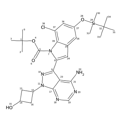 CC(C)(C)OC(=O)n1c(-c2nn(C3CC(O)C3)c3ncnc(N)c23)cc2cc(O[Si](C)(C)C(C)(C)C)cc(Cl)c21